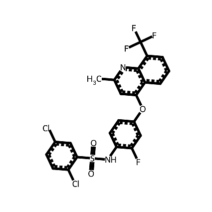 Cc1cc(Oc2ccc(NS(=O)(=O)c3cc(Cl)ccc3Cl)c(F)c2)c2cccc(C(F)(F)F)c2n1